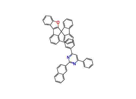 c1ccc(-c2cc(-c3cccc(-c4cccc5c4C4(c6ccccc6-c6ccccc64)c4oc6ccccc6c4-5)c3)nc(-c3ccc4ccccc4c3)n2)cc1